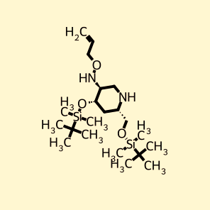 C=CCON[C@H]1CN[C@H](CO[Si](C)(C)C(C)(C)C)C[C@@H]1O[Si](C)(C)C(C)(C)C